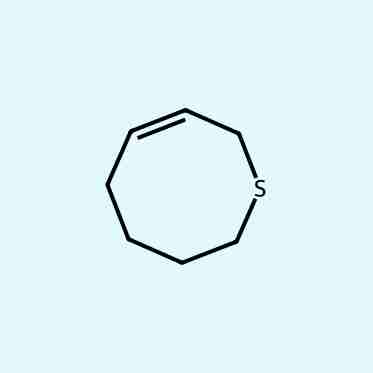 C1=CCSCCCC1